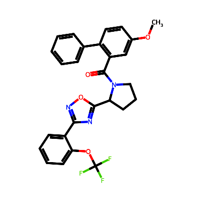 COc1ccc(-c2ccccc2)c(C(=O)N2CCCC2c2nc(-c3ccccc3OC(F)(F)F)no2)c1